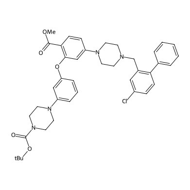 COC(=O)c1ccc(N2CCN(Cc3cc(Cl)ccc3-c3ccccc3)CC2)cc1Oc1cccc(N2CCN(C(=O)OC(C)(C)C)CC2)c1